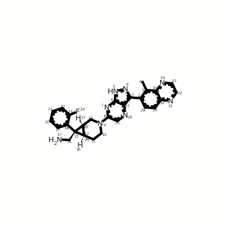 Cc1c(-c2n[nH]c3nc(N4CC[C@@H]5[C@H](C4)[C@@]5(CN)c4ccccc4F)cnc23)ccc2nccnc12